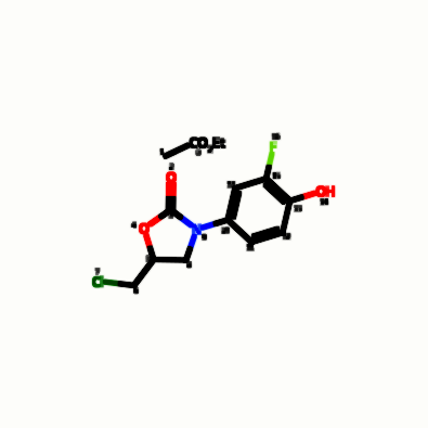 CCOC(C)=O.O=C1OC(CCl)CN1c1ccc(O)c(F)c1